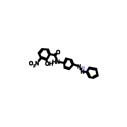 O=C(Nc1ccc(/N=N/c2ccccc2)cc1)c1cccc([N+](=O)[O-])c1O